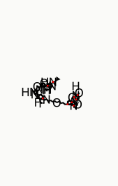 Cn1c(=O)n([C@H]2CCC(=O)NC2=O)c2ccc(CCCCOCCCCNCc3ccc(-c4n[nH]cc4NC(=O)c4coc(-c5ccnc(NCC6CC6)c5)n4)cc3C(F)F)cc21